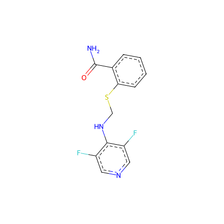 NC(=O)c1ccccc1SCNc1c(F)cncc1F